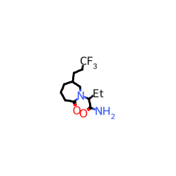 CCC(C(N)=O)N1CC(CCC(F)(F)F)CCCC1=O